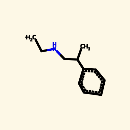 [CH2]CNCC(C)c1ccccc1